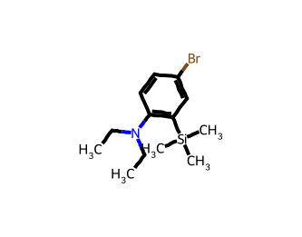 CCN(CC)c1ccc(Br)cc1[Si](C)(C)C